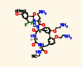 CCCCCCCOc1ccc(C(=O)N[C@@H](CCN)C(=O)N(C)[C@@H]2C(=O)N[C@@H](C)C(=O)N[C@H](C(=O)NCC#N)Cc3ccc(OCCN)c(c3)-c3cc2ccc3OCCN)c(C(F)F)c1